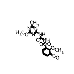 COc1nc(C)nc(NC(=O)NS(=O)(=O)C2=CC=CC(=C=O)C2OC)n1